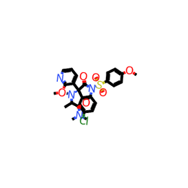 COc1ccc(S(=O)(=O)N2C(=O)[C@](c3cccnc3OC)(N(C)C(C)C(=O)N(C)C)c3cc(Cl)ccc32)cc1